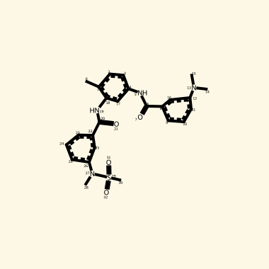 Cc1ccc(NC(=O)c2cccc(N(C)C)c2)cc1NC(=O)c1cccc(N(C)S(C)(=O)=O)c1